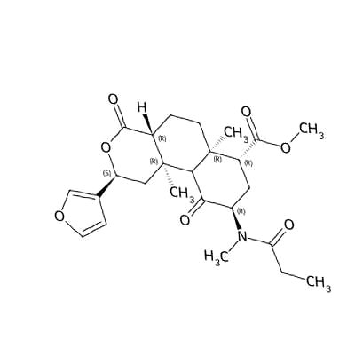 CCC(=O)N(C)[C@@H]1C[C@@H](C(=O)OC)[C@]2(C)CC[C@H]3C(=O)O[C@H](c4ccoc4)C[C@]3(C)C2C1=O